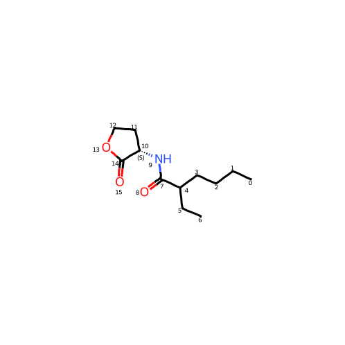 CCCCC(CC)C(=O)N[C@H]1CCOC1=O